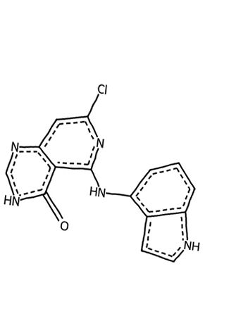 O=c1[nH]cnc2cc(Cl)nc(Nc3cccc4[nH]ccc34)c12